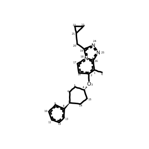 Cc1c(O[C@H]2CC[C@H](c3ccccc3)CC2)ccn2c(CC3CC3)nnc12